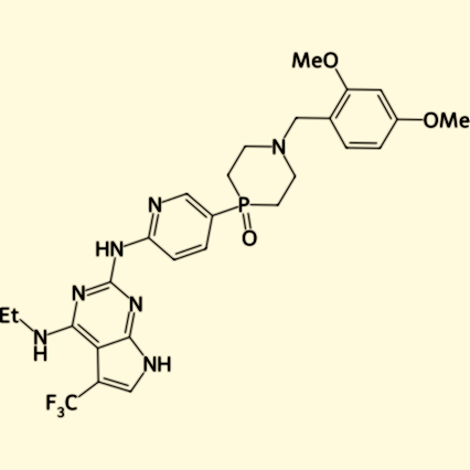 CCNc1nc(Nc2ccc(P3(=O)CCN(Cc4ccc(OC)cc4OC)CC3)cn2)nc2[nH]cc(C(F)(F)F)c12